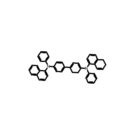 C1=Cc2c(cccc2N(C2=CC=C(c3ccc(N(c4ccccc4)c4cccc5ccccc45)cc3)CC2)c2ccccc2)CC1